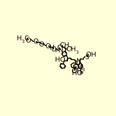 COCCOCCOCCOCCOCCN1c2cc(O)c(C(=C\Cc3ccccc3)/C=C/C=C3/N(CCCSO)c4ccc(SO)cc4C3(C)CCCC(=O)O)cc2C(C)=CC1(C)C